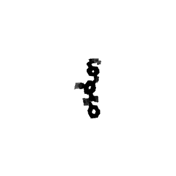 NCc1ccc(Oc2cc(O)cc(C(=O)NC3CC[CH]CC3)c2)cc1